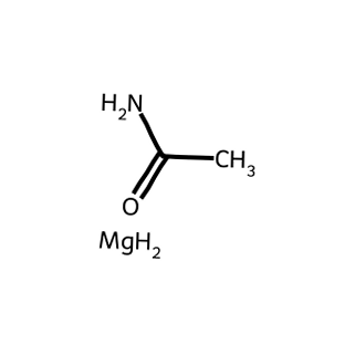 CC(N)=O.[MgH2]